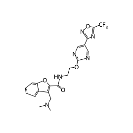 CN(C)Cc1c(C(=O)NCCOc2ncc(-c3noc(C(F)(F)F)n3)cn2)oc2ccccc12